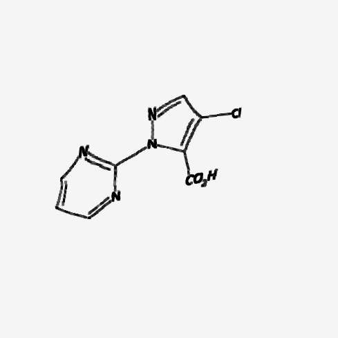 O=C(O)c1c(Cl)cnn1-c1ncccn1